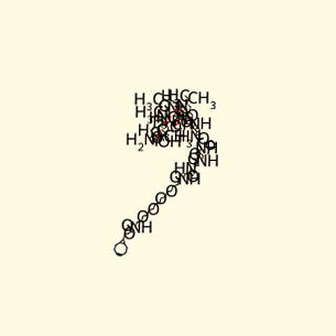 CCCCCCN(C(=O)[C@@H](NC(=O)[C@H]1CCCCN1C)[C@@H](C)CC)[C@H](C[C@@H](OC(=O)NCCNC(=O)CNC(=O)[C@H](Cc1ccccc1)NC(=O)CNC(=O)CNC(=O)CCOCCOCCOCCOCCNC(=O)OCC1C2CCC#CCCC21)c1nc(C(=O)N[C@@H](Cc2ccc(N)c(F)c2)CC(C)(C)C(=O)O)cs1)C(C)C